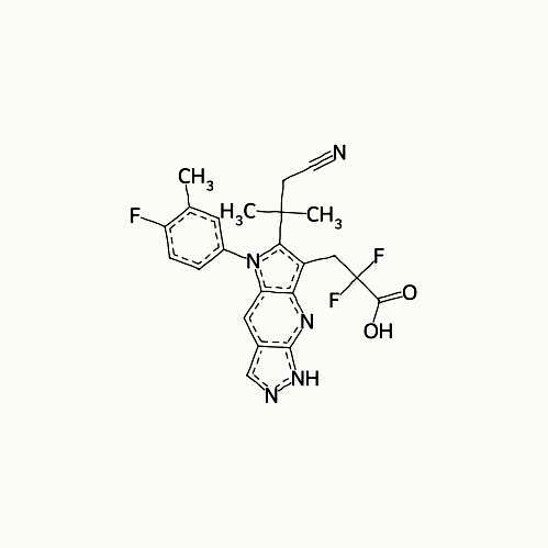 Cc1cc(-n2c(C(C)(C)CC#N)c(CC(F)(F)C(=O)O)c3nc4[nH]ncc4cc32)ccc1F